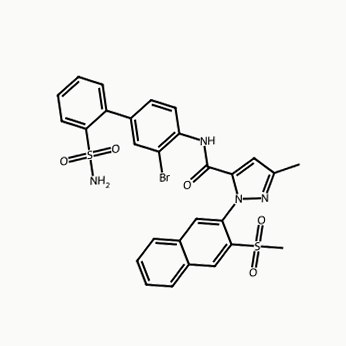 Cc1cc(C(=O)Nc2ccc(-c3ccccc3S(N)(=O)=O)cc2Br)n(-c2cc3ccccc3cc2S(C)(=O)=O)n1